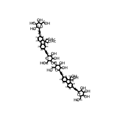 CC(=O)OCC1(COC(C)=O)c2cc(C#CC3OC(CO)[C@@H](O)C(O)C3O)ccc2-c2ccc(C#CC3OC(CO)[C@@H](OO[C@@H]4C(CO)OC(C#Cc5ccc6c(c5)C(CO)(CO)c5cc(C#CC7OC(CO)[C@@H](O)C(O)C7O)ccc5-6)C(O)C4O)C(O)C3O)cc21